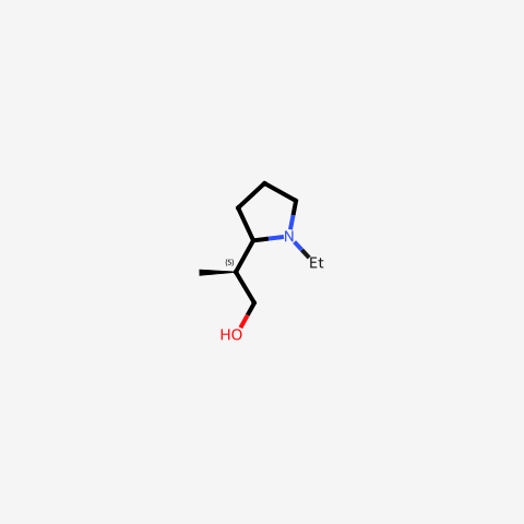 CCN1CCCC1[C@H](C)CO